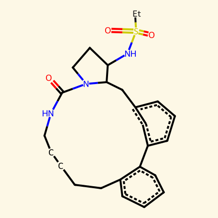 CCS(=O)(=O)NC1CCN2C(=O)NCCCCCc3ccccc3-c3cccc(c3)CC12